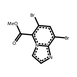 COC(=O)c1c(Br)cc(Br)c2nccn12